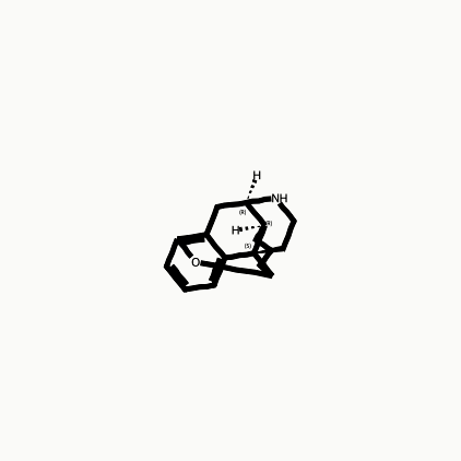 c1cc2c3c(c1)[C@]14CCN[C@H](C3)[C@@H]1CCCC4O2